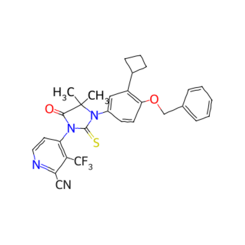 CC1(C)C(=O)N(c2ccnc(C#N)c2C(F)(F)F)C(=S)N1c1ccc(OCc2ccccc2)c(C2CCC2)c1